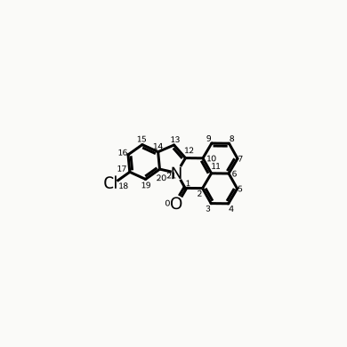 O=c1c2cccc3cccc(c32)c2cc3ccc(Cl)cc3n12